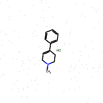 CN1CC=C(c2ccccc2)CC1.Cl